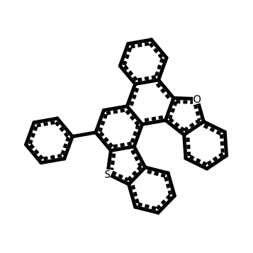 c1ccc(-c2cc3c4ccccc4c4oc5ccccc5c4c3c3c2sc2ccccc23)cc1